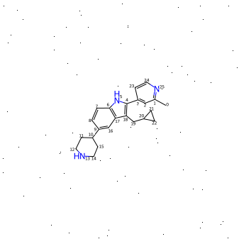 Cc1cc(-c2[nH]c3ccc(C4CCNCC4)cc3c2CC2CC2)ccn1